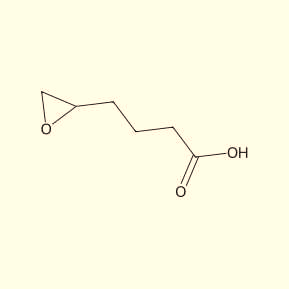 O=C(O)CCCC1CO1